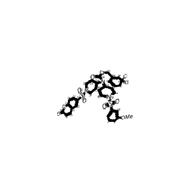 COc1cccc(S(=O)(=O)N2CCC([N+]3(C4CCN(S(=O)(=O)c5ccc6oc(=O)ccc6c5)CC4)C(=O)OCC4=CC(Cl)(Cl)CC=C43)CC2)c1